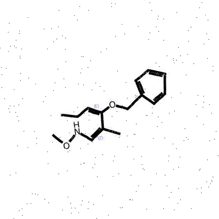 CC/C=C(OCc1ccccc1)\C(C)=C/NOC